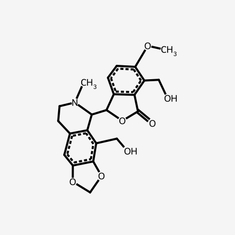 COc1ccc2c(c1CO)C(=O)OC2C1c2c(cc3c(c2CO)OCO3)CCN1C